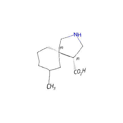 CC1CCC[C@@]2(CNC[C@@H]2C(=O)O)C1